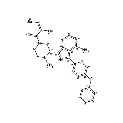 CN1CCN(C(=O)/C(C#N)=C\C(C)(C)C)C[C@@H]1c1nc(-c2ccc(Oc3ccccc3)cc2)c2c(N)nccn12